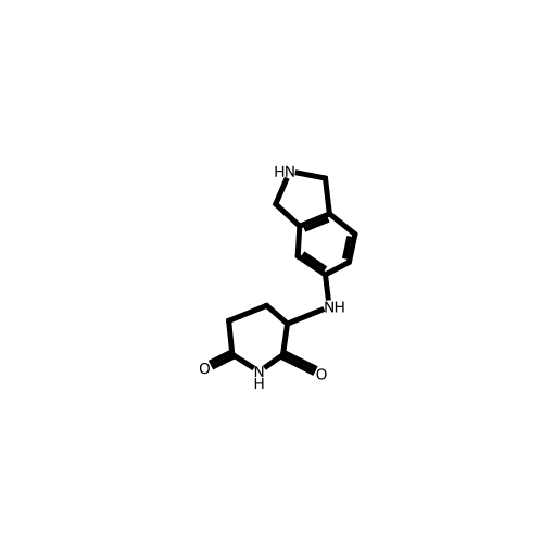 O=C1CCC(Nc2ccc3c(c2)CNC3)C(=O)N1